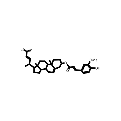 CCC(/C=C/C(C)C1CCC2C3CC=C4CC(OC(=O)/C=C/c5ccc(O)c(OC)c5)CCC4(C)C3CCC12C)C(C)C